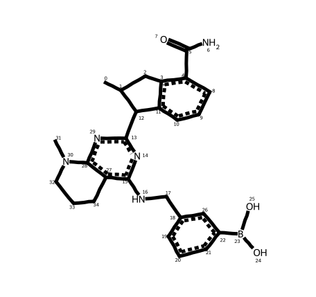 CC1Cc2c(C(N)=O)cccc2C1c1nc(NCc2cccc(B(O)O)c2)c2c(n1)N(C)CCC2